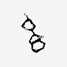 Fc1ccc(-c2cc3c[c]ccc3[nH]2)nc1